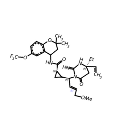 C=C[C@@]1(CC)CC(=O)N([C@@H](/C=C/COC)C2C[C@H]2C(=O)NC2CC(C)(C)Oc3ccc(OC(F)(F)F)cc32)C(=N)N1